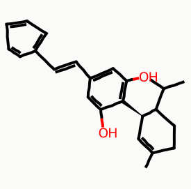 CC1=C[C@@H](c2c(O)cc(/C=C/c3ccccc3)cc2O)C(C(C)C)CC1